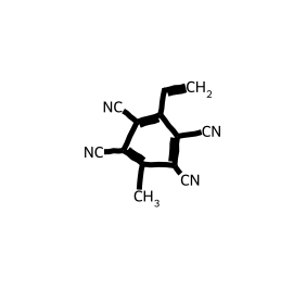 C=Cc1c(C#N)c(C#N)c(C)c(C#N)c1C#N